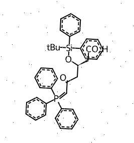 CC(C)(C)[Si](O[C@@H](CC(=O)O)CC(=O)C=P(c1ccccc1)(c1ccccc1)c1ccccc1)(c1ccccc1)c1ccccc1